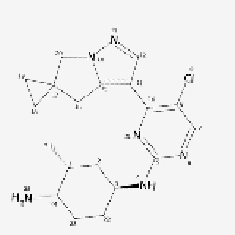 C[C@@H]1C[C@@H](Nc2ncc(Cl)c(-c3cnn4c3CC3(CC3)C4)n2)CC[C@@H]1N